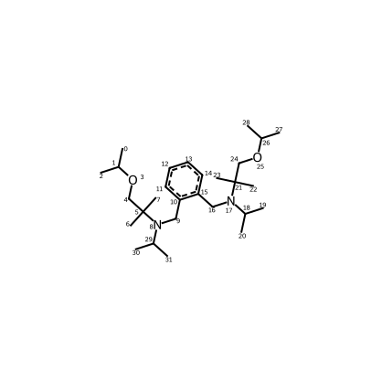 CC(C)OCC(C)(C)N(Cc1ccccc1CN(C(C)C)C(C)(C)COC(C)C)C(C)C